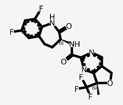 C[C@]1(C(F)(F)F)OCc2cnc(C(=O)N[C@H]3CCc4cc(F)cc(F)c4NC3=O)nc21